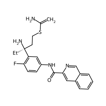 C=C(N)SCC[C@@](N)(CC)c1cc(NC(=O)c2cc3ccccc3cn2)ccc1F